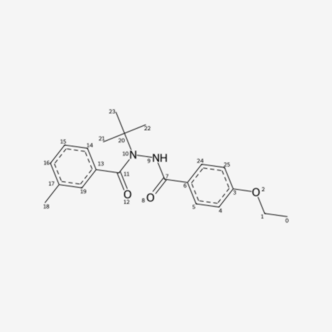 CCOc1ccc(C(=O)NN(C(=O)c2cccc(C)c2)C(C)(C)C)cc1